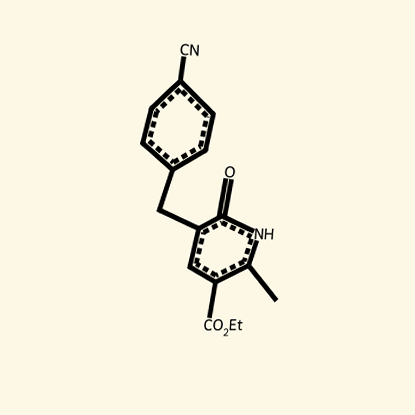 CCOC(=O)c1cc(Cc2ccc(C#N)cc2)c(=O)[nH]c1C